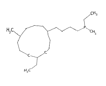 CCC1CCCC(C)CCCC(CCCCP(C)CC)CCC1